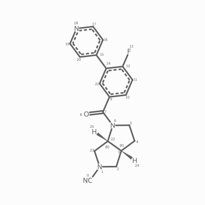 N#CN1C[C@H]2CCN(C(=O)c3ccc(F)c(-c4ccncc4)c3)[C@H]2C1